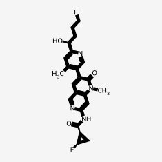 Cc1cc([C@@H](O)CCCF)ncc1-c1cc2cnc(NC(=O)[C@H]3C[C@H]3F)cc2n(C)c1=O